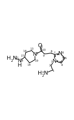 NCCn1ccnc1CCC(=O)N1CCC(NN)CC1